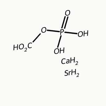 O=C(O)OP(=O)(O)O.[CaH2].[SrH2]